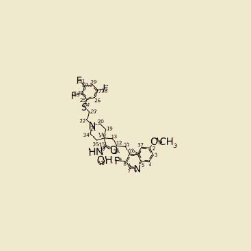 COc1ccc2ncc(F)c(CCCC3(C(=O)NO)CCN(CCSc4cc(F)cc(F)c4F)CC3)c2c1